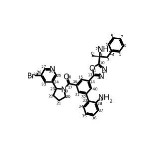 C[C@@](N)(Cc1ccccc1)c1nnc(-c2cc(C(=O)N3CCCC3c3cncc(Br)c3)cc(-c3ccccc3N)c2)o1